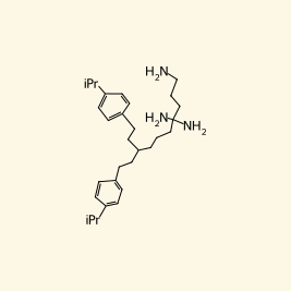 CC(C)c1ccc(CCC(CCCC(N)(N)CCCN)CCc2ccc(C(C)C)cc2)cc1